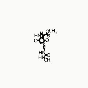 CNC(=O)NCCSC1=CC(=O)c2[nH]nc(C(=O)OC)c2C1=O